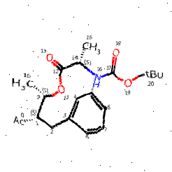 CC(=O)[C@@H](Cc1ccccc1)[C@H](C)OC(=O)[C@H](C)NC(=O)OC(C)(C)C